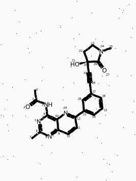 CC(=O)Nc1nc(C)nc2ccc(-c3cccc(C#C[C@]4(O)CCN(C)C4=O)c3)nc12